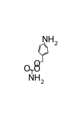 NC(=O)OOCc1ccc(N)cc1